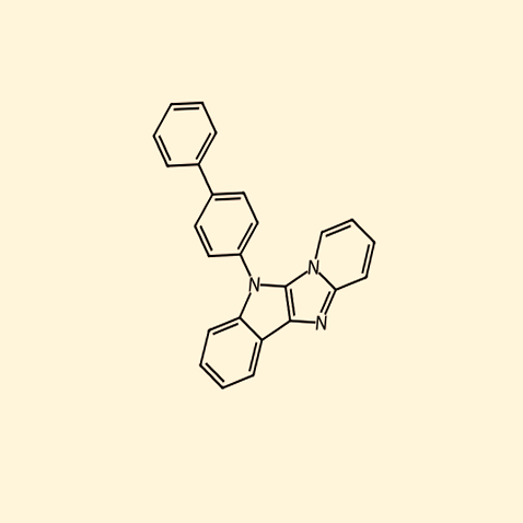 c1ccc(-c2ccc(-n3c4ccccc4c4nc5ccccn5c43)cc2)cc1